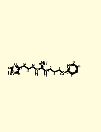 N=C(NCCCSc1ccccn1)NCCCc1c[nH]cn1